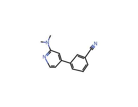 CN(C)c1cc(-c2cccc(C#N)c2)ccn1